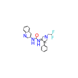 O=C(Nc1cnc2ccccc2c1)N[C@@H]1CN(CC(F)F)C[C@H]1c1ccccc1